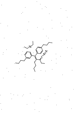 CCCCC(C(=C=[N+]=[N-])CC)=C(c1ccc(CCCC)cc1)c1cccc(CCCC)c1.C[CH2][Ni][CH2]C